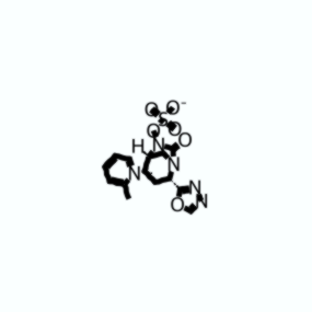 CC1=CC=CC=[N+]1.O=C1N2C[C@@H](CC[C@H]2c2nnco2)N1OS(=O)(=O)[O-]